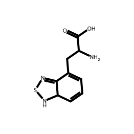 NC(CC1=CC=CC2NSN=C12)C(=O)O